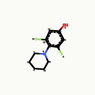 Oc1cc(F)c(N2CCCCC2)c(F)c1